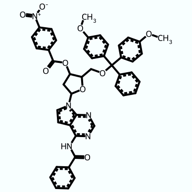 COc1ccc(C(OCC2OC(n3ccc4c(NC(=O)c5ccccc5)ncnc43)CC2OC(=O)c2ccc([N+](=O)[O-])cc2)(c2ccccc2)c2ccc(OC)cc2)cc1